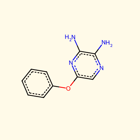 Nc1ncc(Oc2ccccc2)nc1N